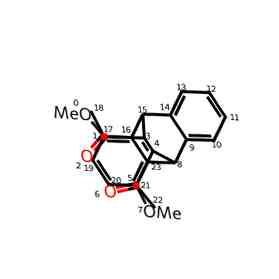 COC(=O)C1=C(C(=O)OC)C2c3ccccc3C1c1c(C)ccc(C)c12